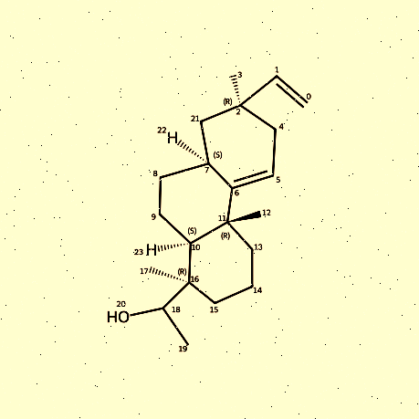 C=C[C@@]1(C)CC=C2[C@@H](CC[C@H]3[C@@]2(C)CCC[C@@]3(C)C(C)O)C1